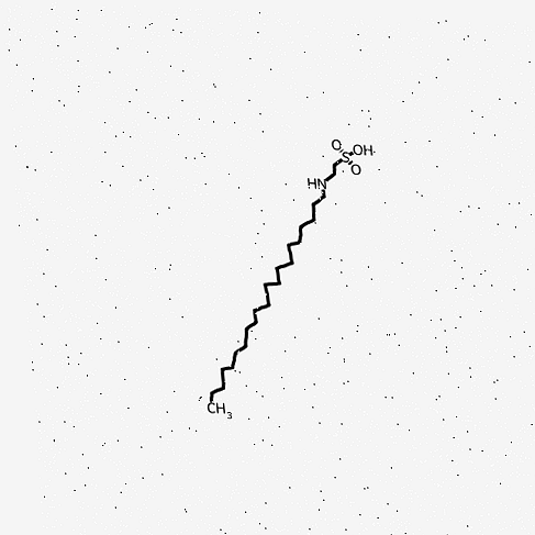 CCCCCCCCCCCCCCCCCCCCCNCCS(=O)(=O)O